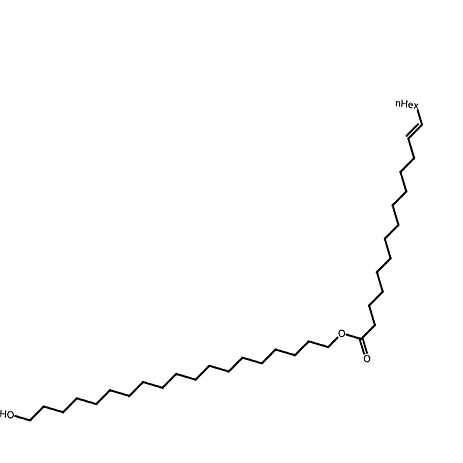 CCCCCCC=CCCCCCCCCCCCC(=O)OCCCCCCCCCCCCCCCCCCCO